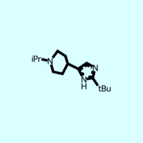 CC(C)N1CCC(c2cnc(C(C)(C)C)[nH]2)CC1